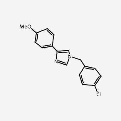 COc1ccc(-c2cn(Cc3ccc(Cl)cc3)cn2)cc1